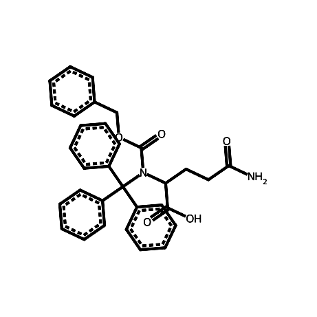 NC(=O)CCC(C(=O)O)N(C(=O)OCc1ccccc1)C(c1ccccc1)(c1ccccc1)c1ccccc1